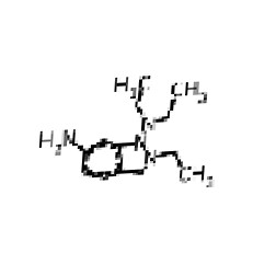 CCN(CC)N1c2cc(N)ccc2CN1CC